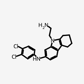 NCCn1c2c(c3ccc(Nc4ccc(Cl)c(Cl)c4)cc31)CCCC2